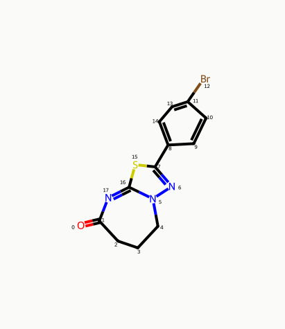 O=C1CCCN2N=C(c3ccc(Br)cc3)SC2=N1